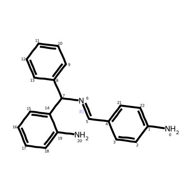 Nc1ccc(/C=N/C(c2ccccc2)c2ccccc2N)cc1